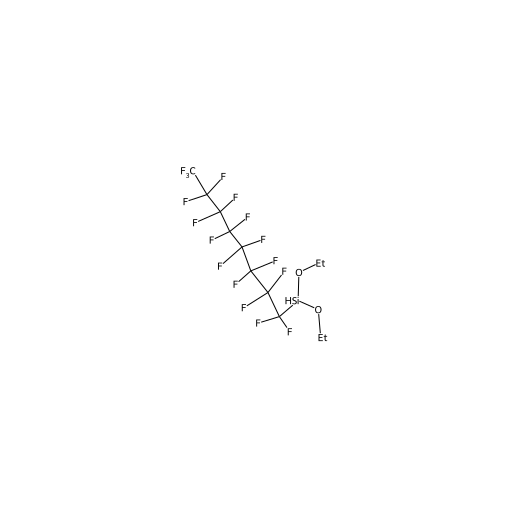 CCO[SiH](OCC)C(F)(F)C(F)(F)C(F)(F)C(F)(F)C(F)(F)C(F)(F)C(F)(F)C(F)(F)F